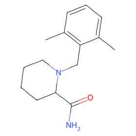 Cc1cccc(C)c1CN1CCCCC1C(N)=O